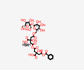 O=C(CC(O)(CC(=O)OC(=O)CC(O)(CC(=O)OC(=O)c1ccccc1)C(=O)O)C(=O)O)OC[C@H]1O[C@H](O[C@]2(CO)O[C@H](CO)[C@@H](O)[C@@H]2O)[C@H](O)[C@@H](O)[C@@H]1O.[NaH].[NaH]